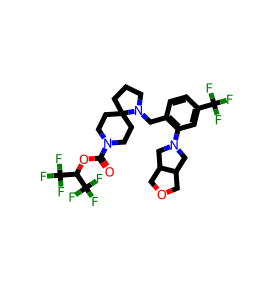 O=C(OC(C(F)(F)F)C(F)(F)F)N1CCC2(CCCN2Cc2ccc(C(F)(F)F)cc2N2CC3COCC3C2)CC1